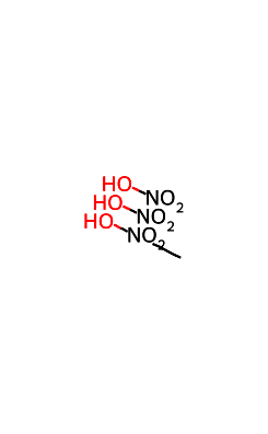 CC.O=[N+]([O-])O.O=[N+]([O-])O.O=[N+]([O-])O